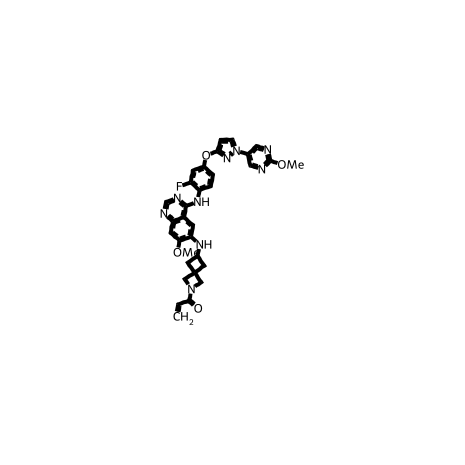 C=CC(=O)N1CC2(CC(Nc3cc4c(Nc5ccc(Oc6ccn(-c7cnc(OC)nc7)n6)cc5F)ncnc4cc3OC)C2)C1